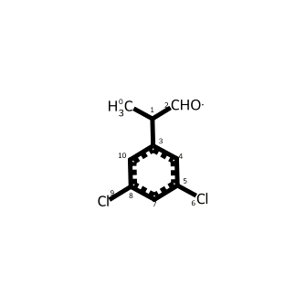 CC([C]=O)c1cc(Cl)cc(Cl)c1